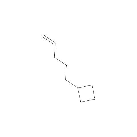 C=CCCCC1CCC1